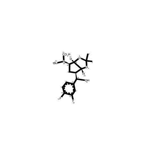 CC1(C)O[C@@H]2[C@H](O1)[C@@H](C(O)c1ccc(F)c(F)c1)C[C@H]2N(C(=O)O)C(C)(C)C